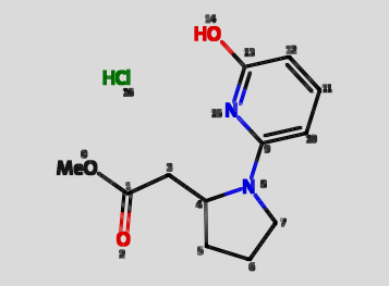 COC(=O)CC1CCCN1c1cccc(O)n1.Cl